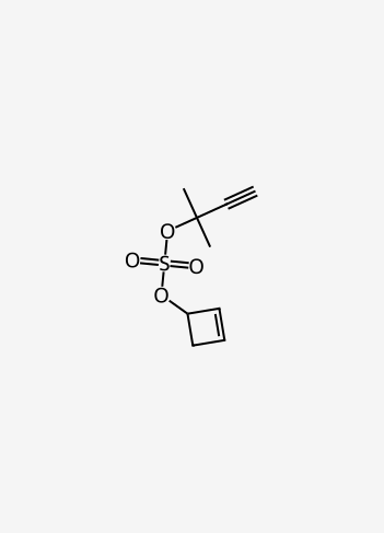 C#CC(C)(C)OS(=O)(=O)OC1C=CC1